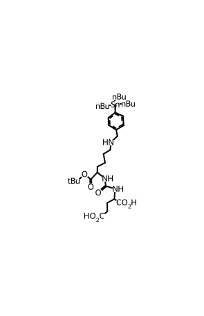 CCC[CH2][Sn]([CH2]CCC)([CH2]CCC)[c]1ccc(CNCCCCC(NC(=O)NC(CCC(=O)O)C(=O)O)C(=O)OC(C)(C)C)cc1